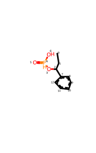 CCC(O[PH](=O)O)c1ccccc1